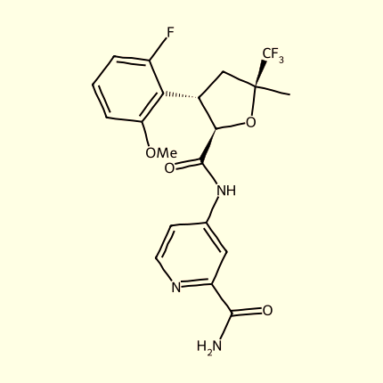 COc1cccc(F)c1[C@@H]1C[C@@](C)(C(F)(F)F)O[C@H]1C(=O)Nc1ccnc(C(N)=O)c1